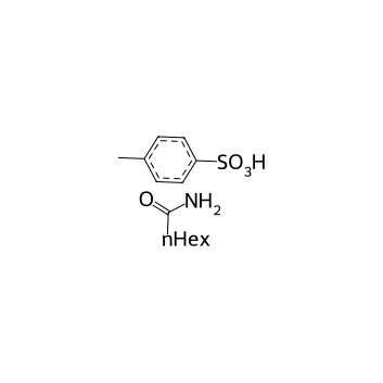 CCCCCCC(N)=O.Cc1ccc(S(=O)(=O)O)cc1